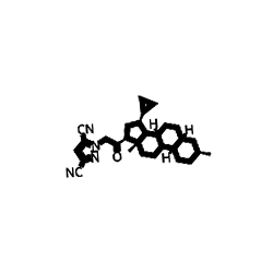 C[C@H]1CC[C@@H]2C3CC[C@@]4(C)C([C@@H]3CC[C@@H]2C1)[C@H](C1CC1)C[C@@H]4C(=O)Cn1nc(C#N)cc1C#N